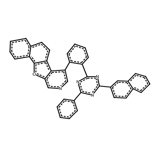 c1ccc(-c2nc(-c3ccc4ccccc4c3)nc(-c3ccccc3-c3cncc4oc5c6ccccc6ccc5c34)n2)cc1